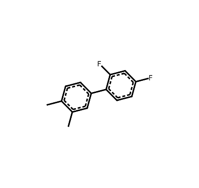 Cc1ccc(-c2ccc(F)cc2F)cc1C